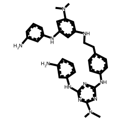 CN(C)c1cc(NCCc2ccc(Nc3nc(Nc4cccc(N)c4)nc(N(C)C)n3)cc2)cc(Nc2cccc(N)c2)c1